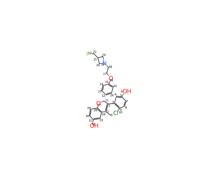 CC1=C(c2cc(O)ccc2Cl)[C@@H](c2ccc(OCCN3CC(CF)C3)cc2)Oc2ccc(O)cc21